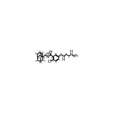 CC(C)NCCNCc1ccc(Cl)c(C(=O)NCC23CC4CC(CC(C4)C2)C3)c1